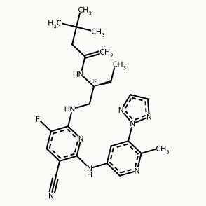 C=C(CC(C)(C)C)N[C@@H](CC)CNc1nc(Nc2cnc(C)c(-n3nccn3)c2)c(C#N)cc1F